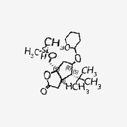 C[SiH](C)OC[C@]12C[C@@H](OC3CCCCO3)[C@H](C(C)(C)C)[C@H]1CC(=O)O2